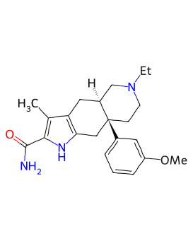 CCN1CC[C@]2(c3cccc(OC)c3)Cc3[nH]c(C(N)=O)c(C)c3C[C@H]2C1